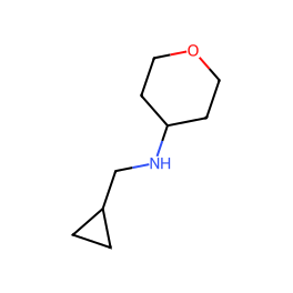 C1CC(NCC2CC2)CCO1